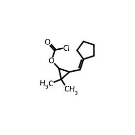 CC1(C)C(C=C2CCCC2)C1OC(=O)Cl